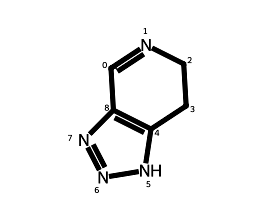 [C]1=NCCc2[nH]nnc21